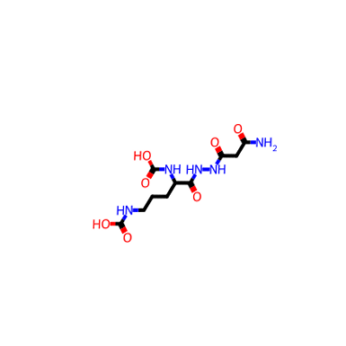 NC(=O)CC(=O)NNC(=O)C(CCCNC(=O)O)NC(=O)O